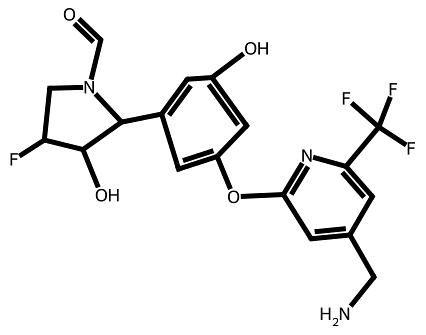 NCc1cc(Oc2cc(O)cc(C3C(O)C(F)CN3C=O)c2)nc(C(F)(F)F)c1